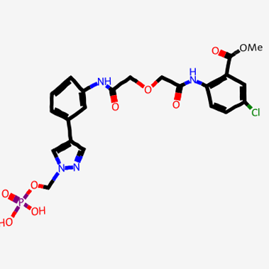 COC(=O)c1cc(Cl)ccc1NC(=O)COCC(=O)Nc1cccc(-c2cnn(COP(=O)(O)O)c2)c1